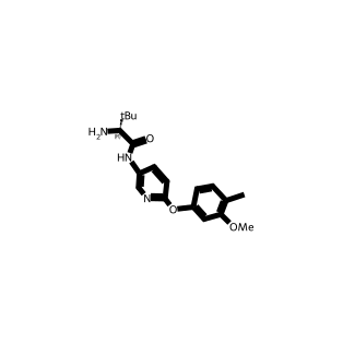 COc1cc(Oc2ccc(NC(=O)[C@H](N)C(C)(C)C)cn2)ccc1C